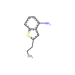 CCCc1cc2c(N)cccc2s1